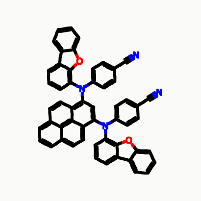 N#Cc1ccc(N(c2cc(N(c3ccc(C#N)cc3)c3cccc4c3oc3ccccc34)c3ccc4cccc5ccc2c3c54)c2cccc3c2oc2ccccc23)cc1